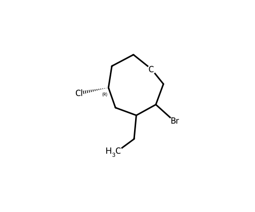 CCC1C[C@H](Cl)CCCCC1Br